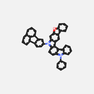 c1ccc(-n2c3ccccc3c3c4c5cc6c(cc5n(-c5ccc7c(c5)-c5cccc8cccc-7c58)c4ccc32)oc2ccccc26)cc1